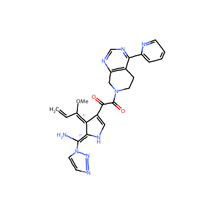 C=C/C(OC)=c1/c(C(=O)C(=O)N2CCc3c(ncnc3-c3ccccn3)C2)c[nH]/c1=C(/N)n1ccnn1